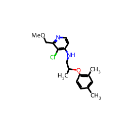 COCc1nccc(NCC(C)Oc2ccc(C)cc2C)c1Cl